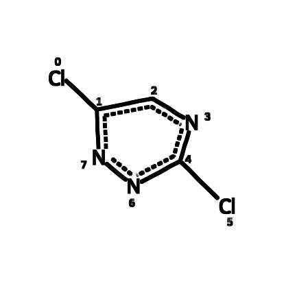 Clc1cnc(Cl)nn1